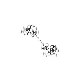 CC1(C)CC(NC(=O)CCCCCCCCC(=O)NC2CC(C)(C)NC(C)(C)C2)CC(C)(C)N1